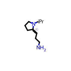 CC(C)N1CCC/C1=C\CCN